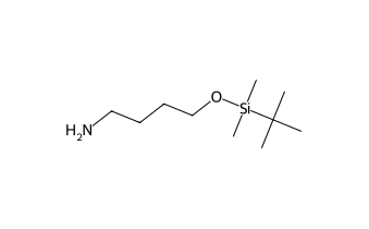 CC(C)(C)[Si](C)(C)OCCCCN